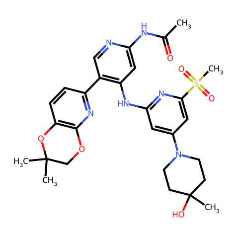 CC(=O)Nc1cc(Nc2cc(N3CCC(C)(O)CC3)cc(S(C)(=O)=O)n2)c(-c2ccc3c(n2)OCC(C)(C)O3)cn1